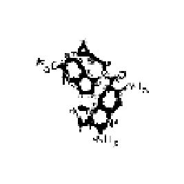 Cc1cc2nc(N)c3cncn3c2cc1C(=O)N(CC1CC1)C1CCc2nc(C(F)(F)F)ccc21